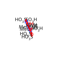 COc1cc(N=Nc2ccc(N=Nc3ccc4cc(OCCCCS(=O)(=O)O)cc(S(=O)(=O)O)c4c3)cc2OCCCCS(=O)(=O)O)c(OC)cc1N=Nc1cc(OC)c(N=Nc2c(S(=O)(=O)O)cc3cc(-n4nc5ccc6c(S(=O)(=O)O)cc(S(=O)(=O)O)cc6c5n4)ccc3c2O)cc1OC